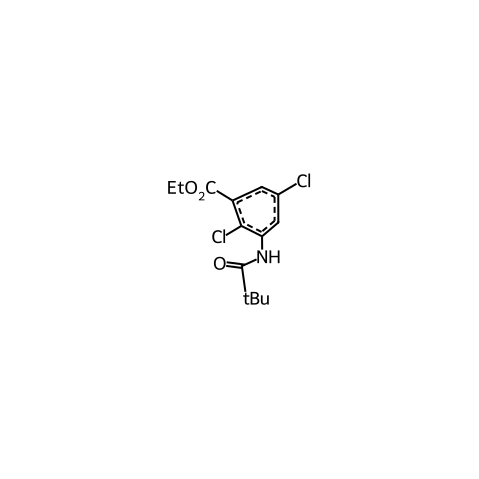 CCOC(=O)c1cc(Cl)cc(NC(=O)C(C)(C)C)c1Cl